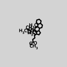 COC(=O)CCCC1CCC2C3CCC4CCCCC4(C)C3=CC(OOC(C)(C)C)[C@]12C